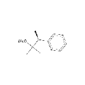 COC(C)(C)[C@@H](C)c1ccccc1